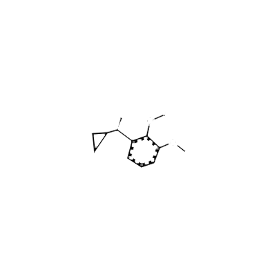 COc1cccc([C@H](C)C2CC2)c1OI